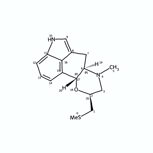 CSC[C@@H]1CN(C)[C@@H]2Cc3c[nH]c4cccc(c34)[C@H]2O1